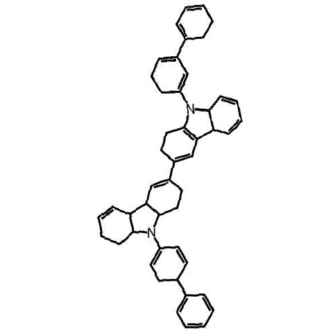 C1=CCCC(C2=CCCC(N3C4=C(C=C(C5=CC6C7C=CCCC7N(C7=CCC(c8ccccc8)C=C7)C6CC5)CC4)C4C=CC=CC43)=C2)=C1